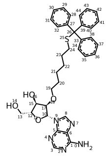 Nc1ncnc2c1ncn2[C@@H]1O[C@H](CO)[C@@H](O)[C@H]1OCCCCCCSC(c1ccccc1)(c1ccccc1)c1ccccc1